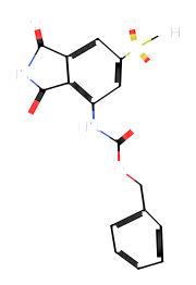 CS(=O)(=O)c1cc(NC(=O)OCc2ccccc2)c2c(c1)C(=O)NC2=O